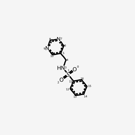 O=S(=O)(NCc1cncnc1)c1ccccc1